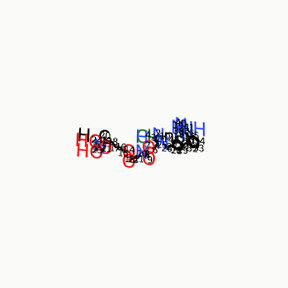 CCCCc1nc(Cl)c(COC(=O)NCC(=O)OCCCCC(C)ON(O)O)n1Cc1ccc(-c2ccccc2-c2nnn[nH]2)cc1